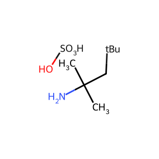 CC(C)(C)CC(C)(C)N.O=S(=O)(O)O